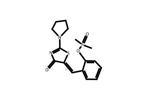 CP(C)(=O)Oc1ccccc1/C=C1\SC(N2CCCC2)=NC1=O